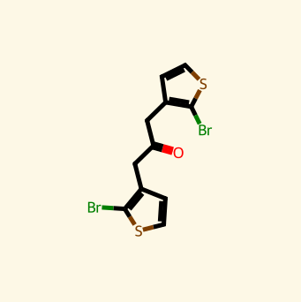 O=C(Cc1ccsc1Br)Cc1ccsc1Br